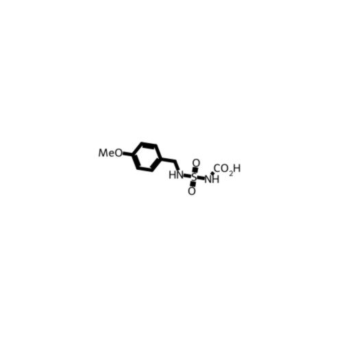 COc1ccc(CNS(=O)(=O)NC(=O)O)cc1